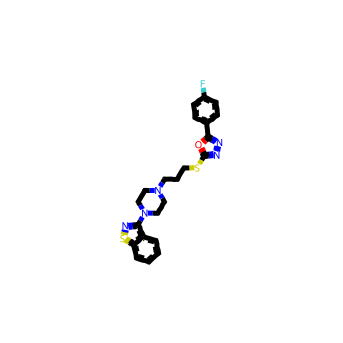 Fc1ccc(-c2nnc(SCCCN3CCN(c4nsc5ccccc45)CC3)o2)cc1